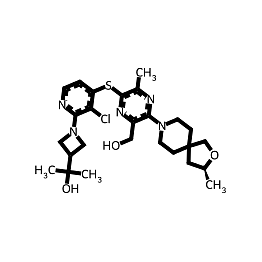 Cc1nc(N2CCC3(CC2)CO[C@@H](C)C3)c(CO)nc1Sc1ccnc(N2CC(C(C)(C)O)C2)c1Cl